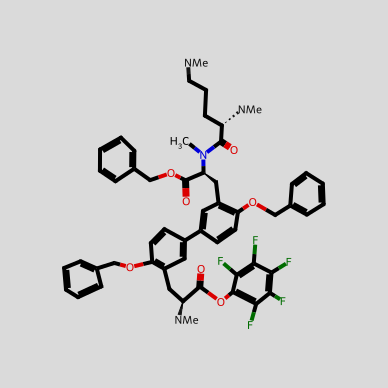 CNCCC[C@H](NC)C(=O)N(C)[C@@H](Cc1cc(-c2ccc(OCc3ccccc3)c(C[C@H](NC)C(=O)Oc3c(F)c(F)c(F)c(F)c3F)c2)ccc1OCc1ccccc1)C(=O)OCc1ccccc1